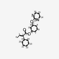 CC=C(C(=O)Oc1cccc(Oc2ncccn2)c1)c1ccccc1